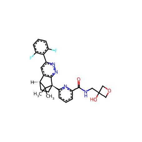 CC1(C)[C@H]2CC[C@@]1(c1cccc(C(=O)NCC3(O)COC3)n1)c1nnc(-c3c(F)cccc3F)cc12